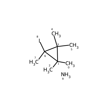 CC1(C)C(C)(C)C1(C)I.N